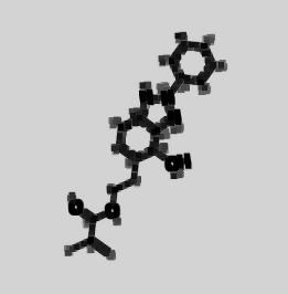 C=C(C)C(=O)OCCc1ccc2nn(-c3ccccc3)nc2c1O